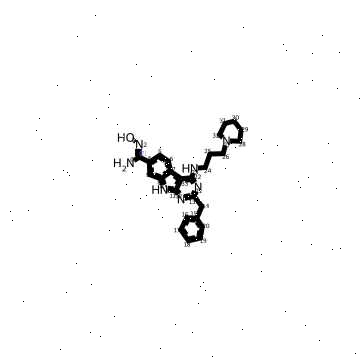 N/C(=N\O)c1ccc2c(c1)[nH]c1nc(Cc3ccccc3)nc(NCCCN3CCCCC3)c12